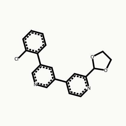 Clc1c[c]ccc1-c1cncc(-c2ccnc(C3OCCO3)c2)c1